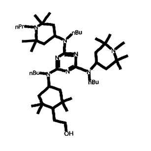 CCCCN(c1nc(N(CCCC)C2CC(C)(C)N(C)C(C)(C)C2)nc(N(CCCC)C2CC(C)(C)N(CCC)C(C)(C)C2)n1)C1CC(C)(C)C(CCO)C(C)(C)C1